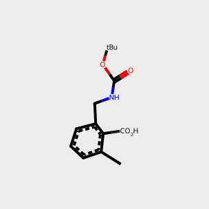 Cc1cccc(CNC(=O)OC(C)(C)C)c1C(=O)O